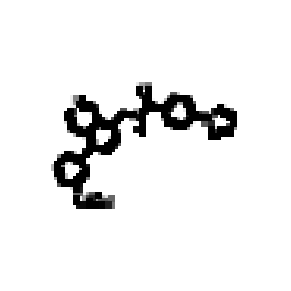 COc1cccc(-c2ccc(CNC(=O)c3ccc(-n4cccn4)cc3)c3cnccc23)c1